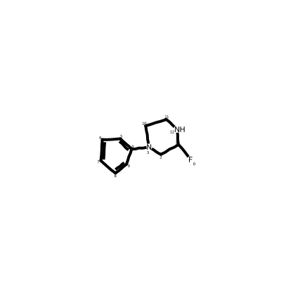 FC1CN(c2ccccc2)CCN1